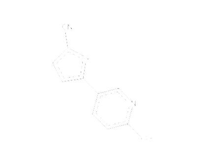 CCCc1ccc(-c2ccc(C#N)s2)cn1